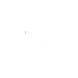 [KH].[SiH3][Ca][PH2]